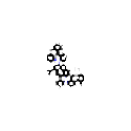 C=Cc1c(-c2ccccc2C)cccc1N(c1ccccc1)c1cc(CCC)c2ccc3c(N(c4ccccc4)c4ccccc4Cc4ccccc4C)cc(C4CC4)c4c3c2c1CC4